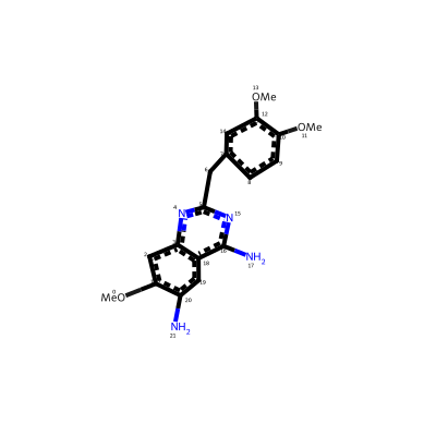 COc1cc2nc(Cc3ccc(OC)c(OC)c3)nc(N)c2cc1N